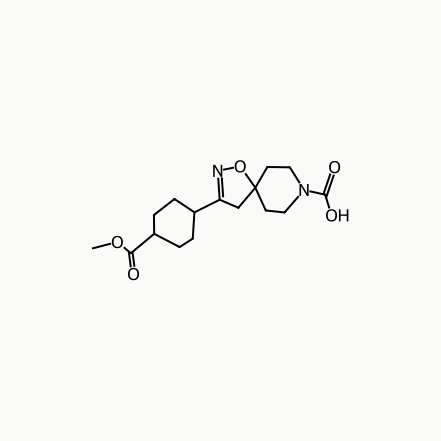 COC(=O)C1CCC(C2=NOC3(CCN(C(=O)O)CC3)C2)CC1